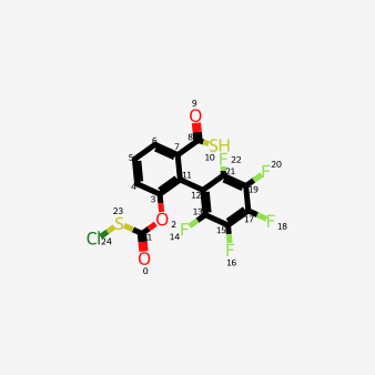 O=C(Oc1cccc(C(=O)S)c1-c1c(F)c(F)c(F)c(F)c1F)SCl